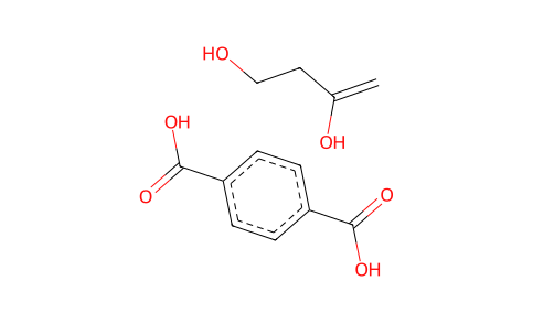 C=C(O)CCO.O=C(O)c1ccc(C(=O)O)cc1